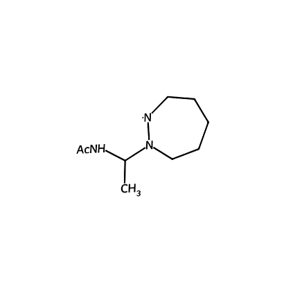 CC(=O)NC(C)N1CCCCC[N]1